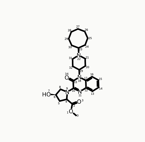 COC(=O)C1C[C@@H](O)CN1c1nc2ccccc2n(C2CCN(C3CCCCCCC3)CC2)c1=O